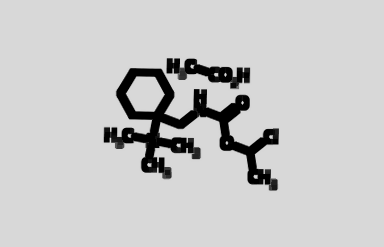 CC(=O)O.CC(Cl)OC(=O)NCC1([Si](C)(C)C)CCCCC1